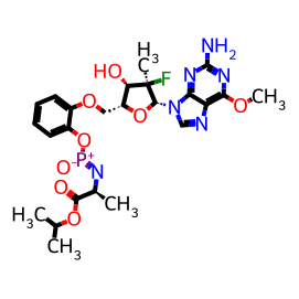 COc1nc(N)nc2c1ncn2[C@@H]1O[C@H](COc2ccccc2O/[P+]([O-])=N/[C@@H](C)C(=O)OC(C)C)[C@@H](O)[C@@]1(C)F